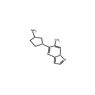 Cc1cn2nccc2nc1N1CCC(N)C1